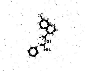 NC(=Nc1ccccc1)NC(=O)c1ccnc2cc(Cl)ccc12